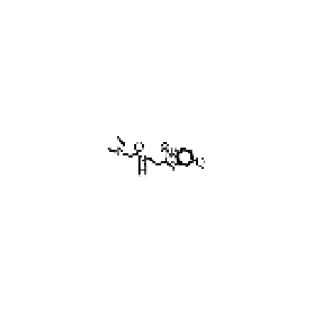 CCN(CC)CC(=O)NCCC1Sc2cc(OC)ccc2[N+]1=O